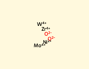 [Mo+4].[Ni+2].[O-2].[O-2].[W+4].[Zr+4]